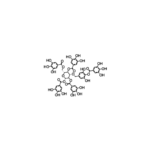 O=C(OC[C@H]1O[C@@H](OC(=O)c2cc(O)c(O)c(O)c2)[C@H](OC(=O)c2cc(O)c(O)c(O)c2)[C@@H](OCc2cc(O)c(OC(=O)c3cc(O)c(O)c(O)c3)c(O)c2)[C@@H]1OC(=O)c1cc(O)c(O)c(O)c1)c1cc(O)c(O)c(O)c1